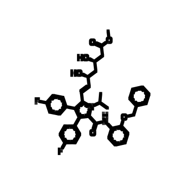 COC(=O)C[C@H](O)C[C@H](O)C=Cc1c(-c2ccc(F)cc2)c(-c2ccc(F)cc2)c(C(=O)Nc2ccccc2OCc2ccccc2)n1C(C)C